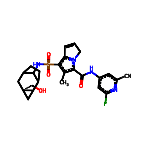 Cc1c(S(=O)(=O)NC2C3CCC2C2C[C@@]2(CO)C3)c2n(c1C(=O)Nc1cc(F)nc(C#N)c1)CC=C2